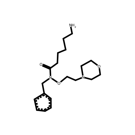 NCCCCCC(=O)N(Cc1ccccc1)OCCN1CCOCC1